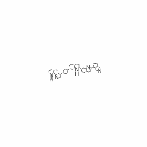 C1=CC2=C(NC1)C1NC=CC(c3ccc(C4=CC5NC(c6ccc7ccc(-c8cccc9c8C=NC9)nc7c6)=CC=C5C=C4)cc3)=C1C=C2